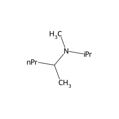 CCCC(C)N(C)C(C)C